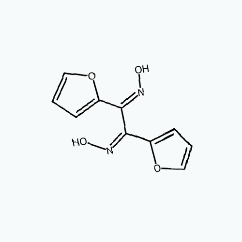 ON=C(C(=NO)c1ccco1)c1ccco1